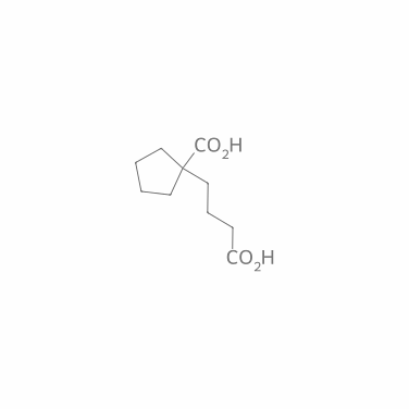 O=C(O)CCCC1(C(=O)O)CCCC1